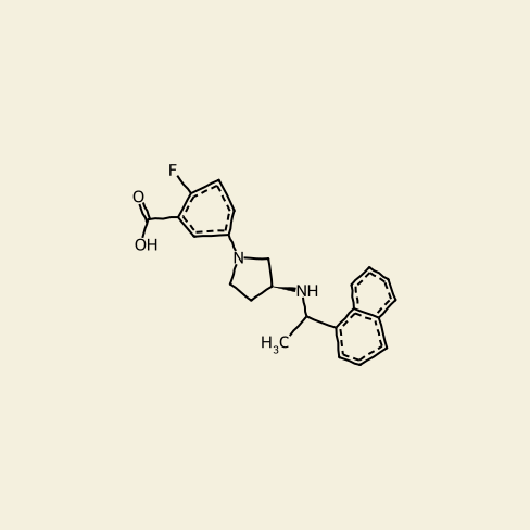 CC(N[C@H]1CCN(c2ccc(F)c(C(=O)O)c2)C1)c1cccc2ccccc12